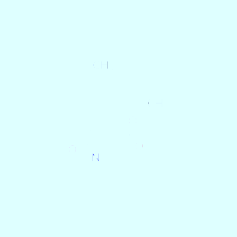 CCOC(=O)c1cc(Cc2ccc(C)cc2)c(=O)n2c1CCC2